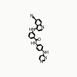 N#Cc1ccc2nccc(Nc3cccc(C(=O)Nc4ccc(Nc5ccncn5)cc4)c3)c2c1